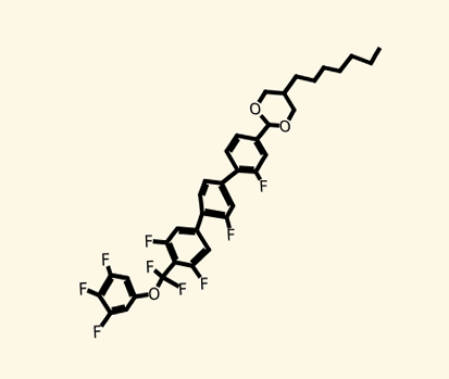 CCCCCCCC1COC(c2ccc(-c3ccc(-c4cc(F)c(C(F)(F)Oc5cc(F)c(F)c(F)c5)c(F)c4)c(F)c3)c(F)c2)OC1